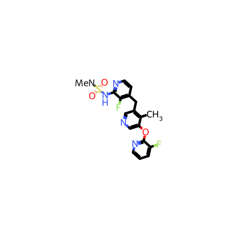 CNS(=O)(=O)Nc1nccc(Cc2cncc(Oc3ncccc3F)c2C)c1F